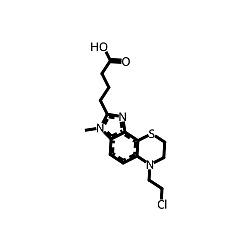 Cn1c(CCCC(=O)O)nc2c3c(ccc21)N(CCCl)CCS3